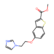 COC(=O)c1cc2cc(OCCn3ccnc3)ccc2s1